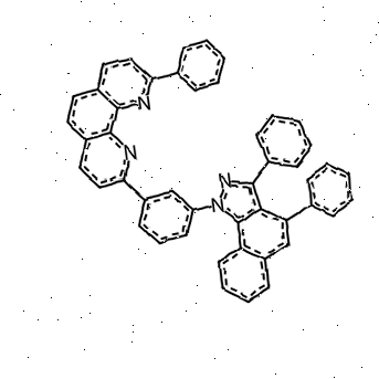 c1ccc(-c2ccc3ccc4ccc(-c5cccc(-n6nc(-c7ccccc7)c7c(-c8ccccc8)cc8ccccc8c76)c5)nc4c3n2)cc1